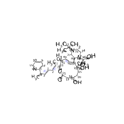 C/C(=C\C=C\[C@H](C)c1ccccn1)[C@H]1OC(=O)C[C@@H](O)CC[C@](C)(O)[C@H](C2CN(C(C)(C)C)CCN2C(=O)O)/C=C/[C@@H]1C